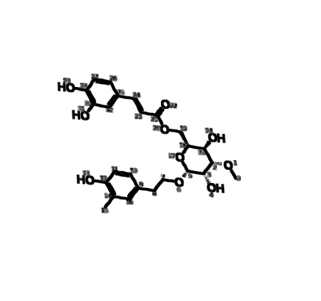 CO[C@@H]1[C@H](O)[C@H](OCCc2ccc(O)c(C)c2)O[C@@H](COC(=O)/C=C/c2ccc(O)c(O)c2)[C@H]1O